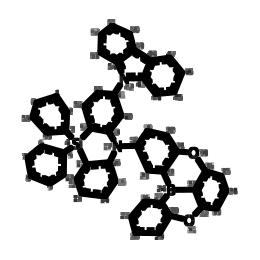 c1ccc([Si]2(c3ccccc3)c3ccccc3N(c3ccc4c(c3)B3c5ccccc5Oc5cccc(c53)O4)c3cc(-n4c5ccccc5c5ccccc54)ccc32)cc1